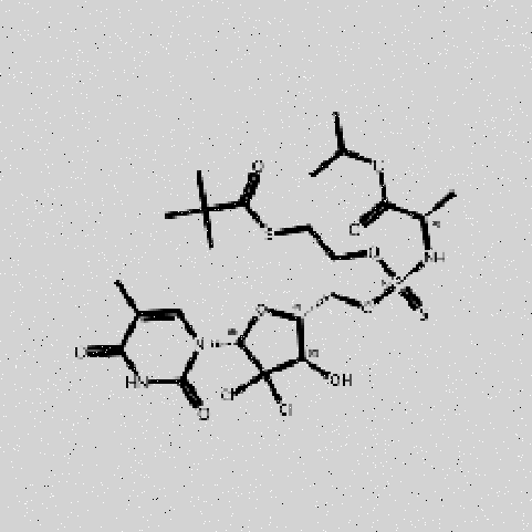 Cc1cn([C@@H]2O[C@H](CO[P@](=S)(N[C@H](C)C(=O)OC(C)C)OCCSC(=O)C(C)(C)C)[C@@H](O)C2(Cl)Cl)c(=O)[nH]c1=O